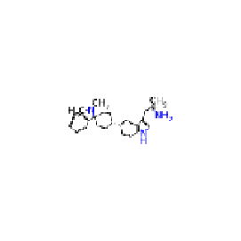 C[C@H](N)Cc1c[nH]c2c1CC([C@H]1CC[C@](c3ccccc3)(N(C)C)CC1)C=C2